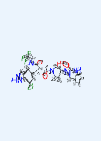 O=C(C[C@@H]1Cc2cc(Cl)c3[nH]ncc3c2CN(CC(F)(F)F)C1=O)N1CCC(N2Cc3ccccc3NC2O)CC1